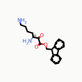 NCCCC[C@H](N)C(=O)C(=O)OCC1c2ccccc2-c2ccccc21